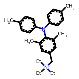 CC[N+](CC)(CC)Cc1cc(C)c(N(c2ccc(C)cc2)c2ccc(C)cc2)c(C)c1